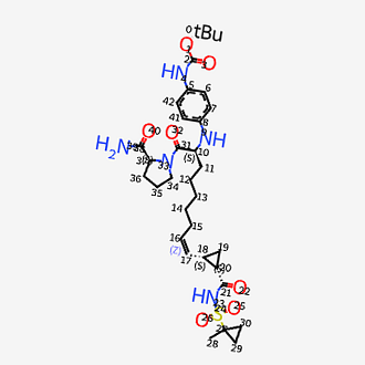 CC(C)(C)OC(=O)Nc1ccc(N[C@@H](CCCCC/C=C\[C@@H]2C[C@@H]2C(=O)NS(=O)(=O)C2(C)CC2)C(=O)N2CCC[C@H]2C(N)=O)cc1